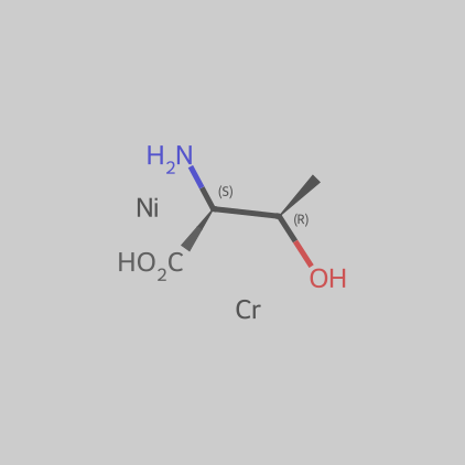 C[C@@H](O)[C@H](N)C(=O)O.[Cr].[Ni]